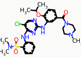 CC(C)Oc1ccc(C(=O)N2CCN(C)CC2)cc1Nc1ncc(Cl)c(Nc2ccccc2S(=O)(=O)N(C)C)n1